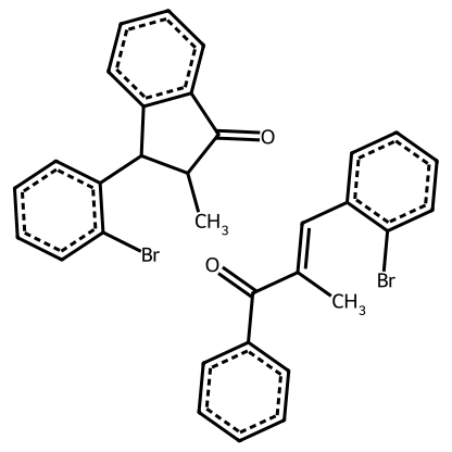 CC(=Cc1ccccc1Br)C(=O)c1ccccc1.CC1C(=O)c2ccccc2C1c1ccccc1Br